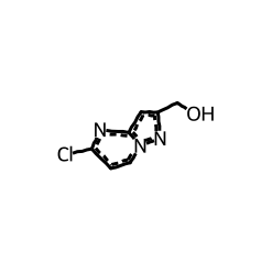 OCc1cc2nc(Cl)ccn2n1